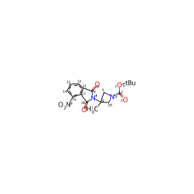 CC(C)(C)OC(=O)N1CC(C)(N2C(=O)c3cccc([N+](=O)[O-])c3C2=O)C1